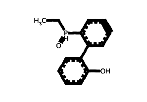 CC[PH](=O)c1cc#ccc1-c1ccccc1O